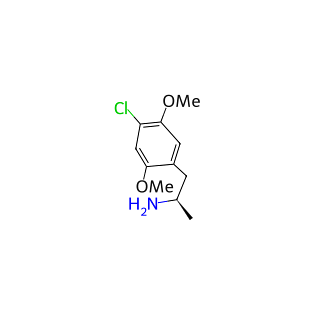 COc1cc(C[C@@H](C)N)c(OC)cc1Cl